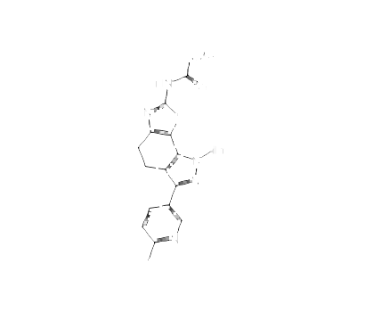 CNC(=O)Nc1nc2c(s1)-c1c(c(-c3ccc(C)nc3)nn1C(C)C)CC2